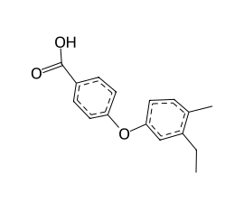 CCc1cc(Oc2ccc(C(=O)O)cc2)ccc1C